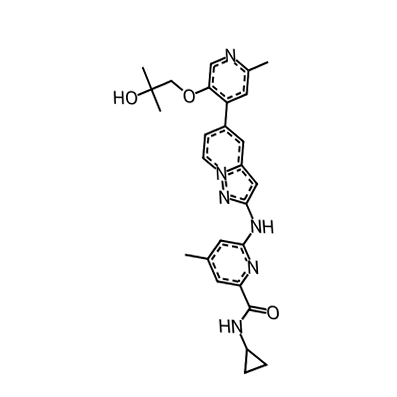 Cc1cc(Nc2cc3cc(-c4cc(C)ncc4OCC(C)(C)O)ccn3n2)nc(C(=O)NC2CC2)c1